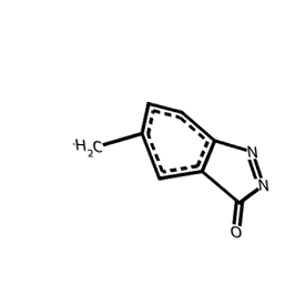 [CH2]c1ccc2c(c1)C(=O)N=N2